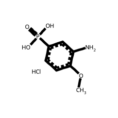 COc1ccc(P(=O)(O)O)cc1N.Cl